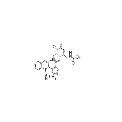 Cc1cc2ccccc2c(C#N)c1-c1c(-c2ccc3c(=O)[nH]nc(CNC(=O)O)c3c2)cnn1C